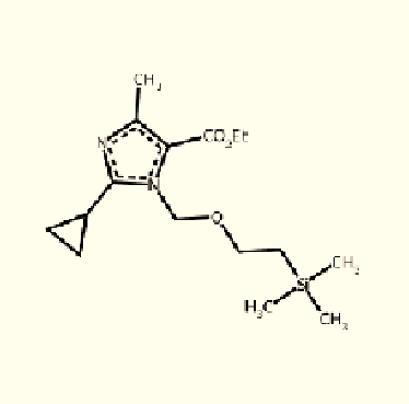 CCOC(=O)c1c(C)nc(C2CC2)n1COCC[Si](C)(C)C